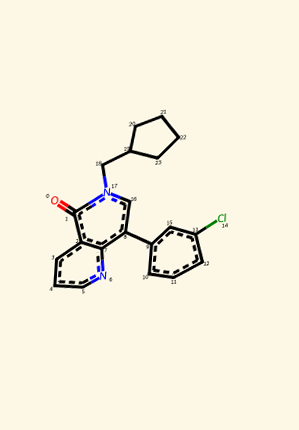 O=c1c2cccnc2c(-c2cccc(Cl)c2)cn1CC1CCCC1